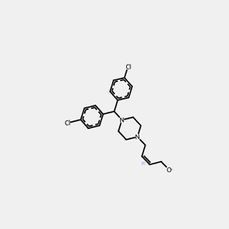 [O]C/C=C\CN1CCN(C(c2ccc(Cl)cc2)c2ccc(Cl)cc2)CC1